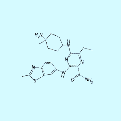 CCc1nc(C(N)=O)c(Nc2ccc3nc(C)sc3c2)nc1NC1CCC(C)(N)CC1